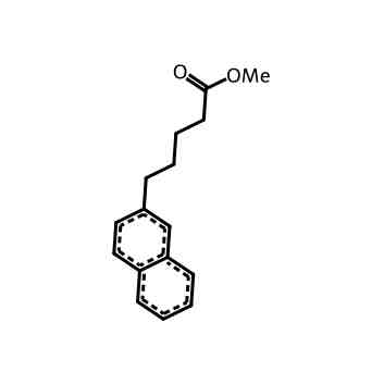 COC(=O)CCCCc1ccc2ccccc2c1